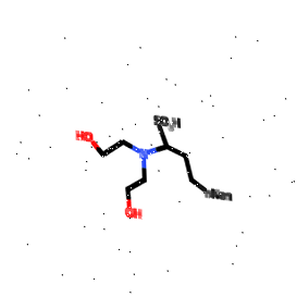 CCCCCCCCCCCC(N(CCO)CCO)S(=O)(=O)O